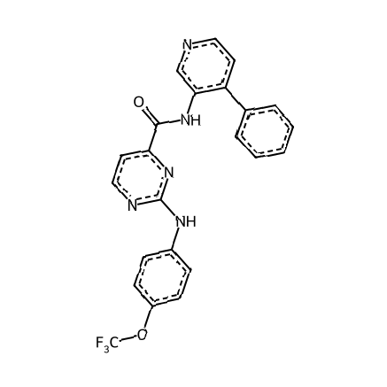 O=C(Nc1cnccc1-c1ccccc1)c1ccnc(Nc2ccc(OC(F)(F)F)cc2)n1